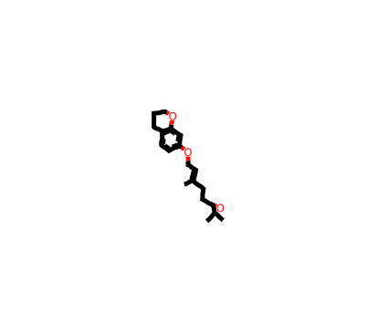 C/C(=C\COc1ccc2c(c1)OCCC2)CCC1OC1(C)C